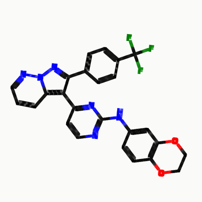 FC(F)(F)c1ccc(-c2nn3ncccc3c2-c2ccnc(Nc3ccc4c(c3)OCCO4)n2)cc1